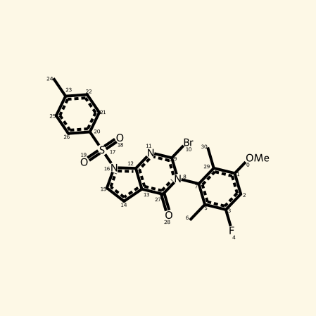 COc1cc(F)c(C)c(-n2c(Br)nc3c(ccn3S(=O)(=O)c3ccc(C)cc3)c2=O)c1C